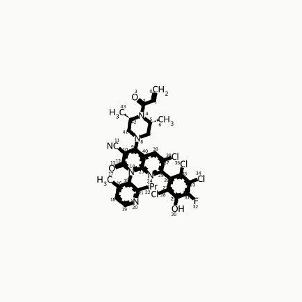 C=CC(=O)N1[C@H](C)CN(c2c(C#N)c(=O)n(-c3c(C)ccnc3C(C)C)c3nc(-c4c(Cl)c(O)c(F)c(Cl)c4Cl)c(Cl)cc23)C[C@@H]1C